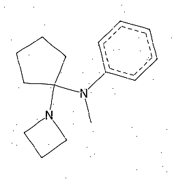 CN(c1ccccc1)C1(N2CCC2)CCCC1